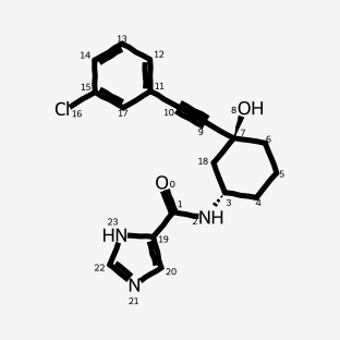 O=C(N[C@H]1CCC[C@@](O)(C#Cc2cccc(Cl)c2)C1)c1cnc[nH]1